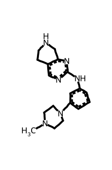 CN1CCN(c2cccc(Nc3ncc4c(n3)CNCC4)c2)CC1